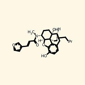 CC(C)CN1CC[C@]23c4c5ccc(O)c4O[C@H]2[C@H](N(C)C(=O)/C=C/c2ccoc2)CC[C@@]3(O)[C@H]1C5